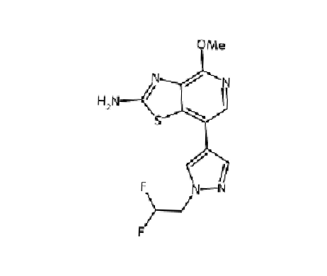 COc1ncc(-c2cnn(CC(F)F)c2)c2sc(N)nc12